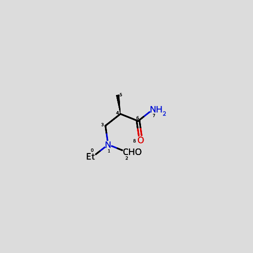 CCN(C=O)C[C@@H](C)C(N)=O